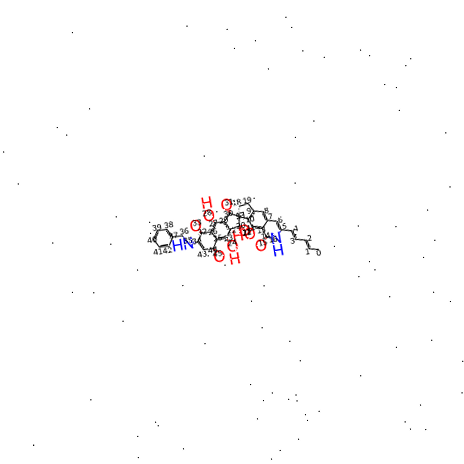 CC=CC=Cc1cc2cc3c(c(O)c2c(=O)[nH]1)[C@@]1(CC3)C(=O)c2c(O)c3c(c(O)c2C1=O)C(=O)C(NCc1ccccc1)=CC3=O